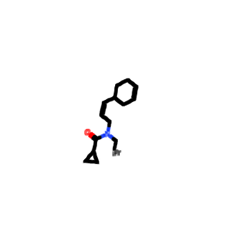 CC(C)CN(C/C=C\C1CC=CCC1)C(=O)C1CC1